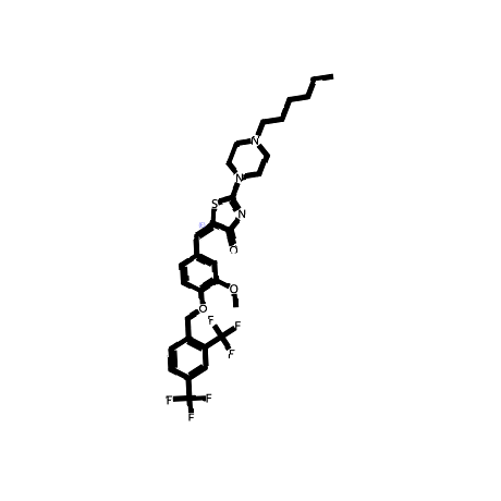 CCCCCCN1CCN(C2=NC(=O)/C(=C\c3ccc(OCc4ccc(C(F)(F)F)cc4C(F)(F)F)c(OC)c3)S2)CC1